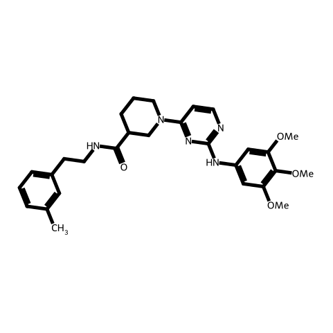 COc1cc(Nc2nccc(N3CCCC(C(=O)NCCc4cccc(C)c4)C3)n2)cc(OC)c1OC